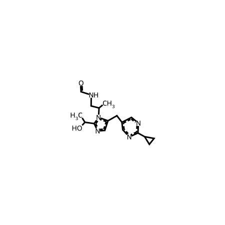 CC(O)c1ncc(Cc2cnc(C3CC3)nc2)n1C(C)CNC=O